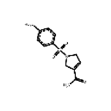 NC(=O)C1=CCN(S(=O)(=O)c2ccc(C(=O)O)cc2)C1